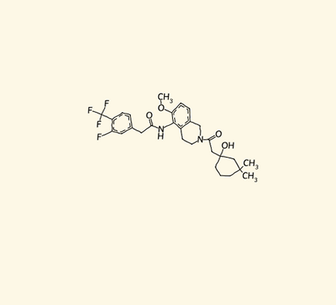 COc1ccc2c(c1NC(=O)Cc1ccc(C(F)(F)F)c(F)c1)CCN(C(=O)CC1(O)CCCC(C)(C)C1)C2